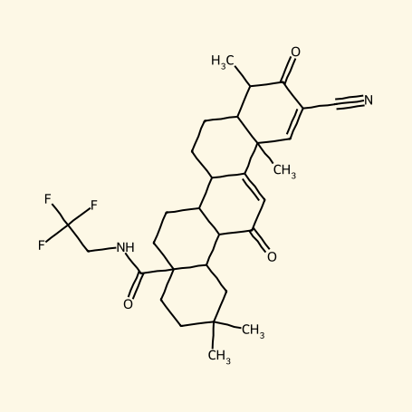 CC1C(=O)C(C#N)=CC2(C)C3=CC(=O)C4C(CCC5(C(=O)NCC(F)(F)F)CCC(C)(C)CC45)C3CCC12